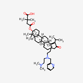 CC(C)C1=C2[C@H]3CC[C@@H]4[C@@]5(C)CC[C@H](OC(=O)CC(C)(C)C(=O)O)C(C)(C)[C@@H]5CC[C@@]4(C)[C@]3(C)CCC2(CCN(CCN(C)C)Cc2ccccn2)CC1=O